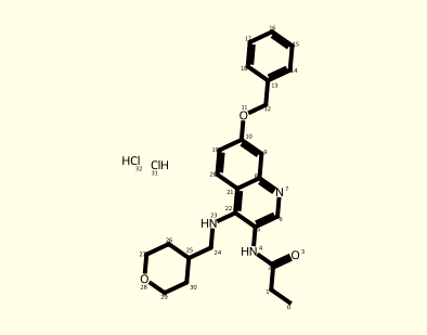 CCC(=O)Nc1cnc2cc(OCc3ccccc3)ccc2c1NCC1CCOCC1.Cl.Cl